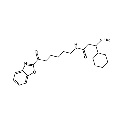 CC(=O)NC(CC(=O)NCCCCCC(=O)c1nc2ccccc2o1)C1CCCCC1